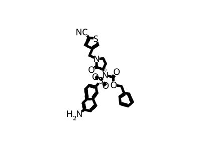 N#Cc1cc(CN2CC[C@H](N(C(=O)OCc3ccccc3)S(=O)(=O)c3ccc4cc(N)ccc4c3)C2=O)cs1